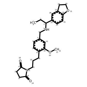 CCC(NCc1ccc(CCCN2C(=O)CCC2=O)c(OC)c1)c1ccc2c(c1)CCO2